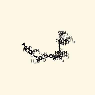 COc1cc2c(cc1OCCCOc1cc3c(cc1OC)C(=O)N1C=C(C4CC4)C[C@@H]1C=N3)N=C[C@H]1CC(c3ccc(NC(=O)[C@@H](C)NC(=O)[C@H](NC(=O)CCCCCN4C(=O)C(SN[C@@H](CS)C(C)=O)C(SN[C@@H](CS)C(C)=O)C4=O)C(C)C)cc3)=CN1C2=O